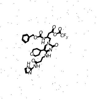 O=C(CCNc1nc(=O)n(CC(CC(=O)OC(=O)C(F)(F)F)NC(=O)OCc2ccccc2)cc1C1CCOCC1)Nc1ncc[nH]1